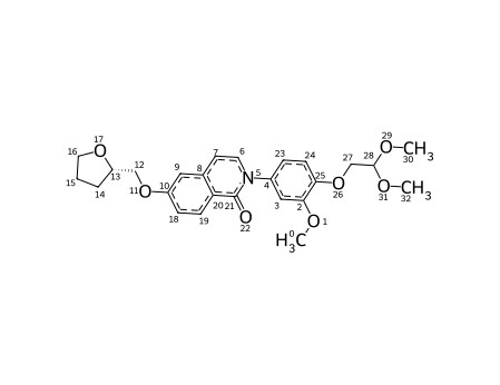 COc1cc(-n2ccc3cc(OC[C@@H]4CCCO4)ccc3c2=O)ccc1OCC(OC)OC